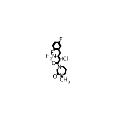 CN1CCCN(C(=O)C[C@H](N)Cc2cc(F)ccc2F)CC1=O.Cl